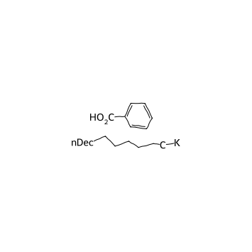 CCCCCCCCCCCCCCC[CH2][K].O=C(O)c1ccccc1